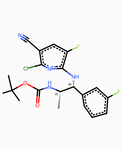 C[C@H](NC(=O)OC(C)(C)C)[C@H](Nc1nc(Cl)c(C#N)cc1F)c1cccc(F)c1